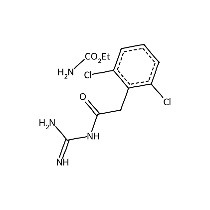 CCOC(N)=O.N=C(N)NC(=O)Cc1c(Cl)cccc1Cl